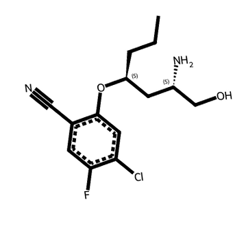 CCC[C@@H](C[C@H](N)CO)Oc1cc(Cl)c(F)cc1C#N